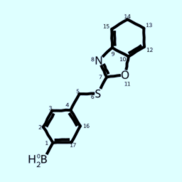 Bc1ccc(CSc2nc3c(o2)=CCCC=3)cc1